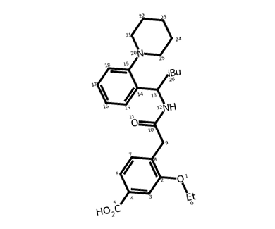 CCOc1cc(C(=O)O)ccc1CC(=O)NC(c1ccccc1N1CCCCC1)C(C)CC